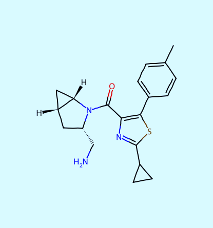 Cc1ccc(-c2sc(C3CC3)nc2C(=O)N2[C@H](CN)C[C@@H]3C[C@@H]32)cc1